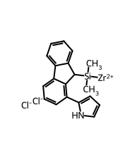 C[Si](C)([Zr+2])C1c2ccccc2-c2cccc(-c3ccc[nH]3)c21.[Cl-].[Cl-]